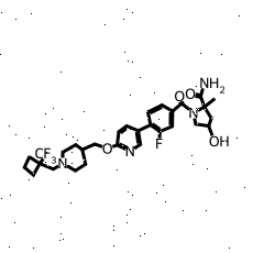 CC1(C(N)=O)CC(O)CN1C(=O)c1ccc(-c2ccc(OCC3CCN(CC4(C(F)(F)F)CCC4)CC3)nc2)c(F)c1